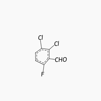 O=Cc1c(F)ccc(Cl)c1Cl